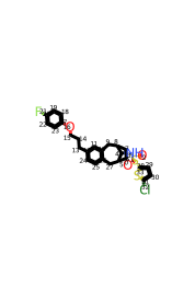 O=S(=O)(NC1C2CCC1Cc1cc(CCCOc3ccc(F)cc3)ccc1C2)c1ccc(Cl)s1